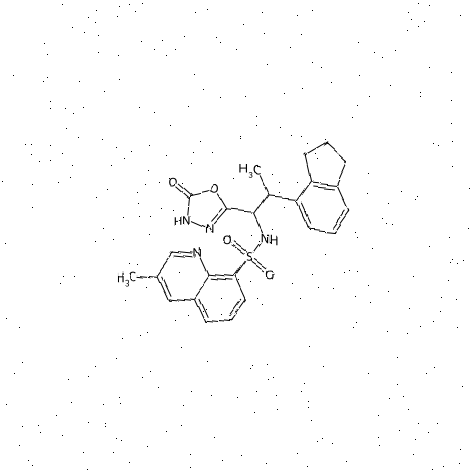 Cc1cnc2c(S(=O)(=O)NC(c3n[nH]c(=O)o3)C(C)c3cccc4c3CCC4)cccc2c1